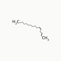 [CH2]CCCCCCCCC/C=C\C/C=C/C